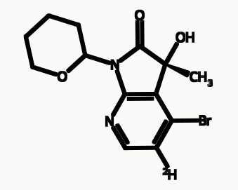 [2H]c1cnc2c(c1Br)[C@@](C)(O)C(=O)N2C1CCCCO1